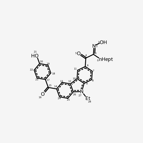 CCCCCCC/C(=N\O)C(=O)c1ccc2c(c1)c1cc(C(=O)c3ccc(O)cc3)ccc1n2CC